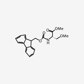 COC[C@H](NC(=O)OCC1c2ccccc2-c2ccccc21)C(=O)OC